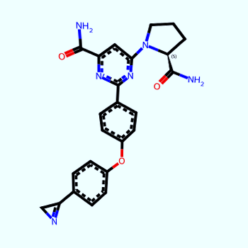 NC(=O)c1cc(N2CCC[C@H]2C(N)=O)nc(-c2ccc(Oc3ccc(C4=NC4)cc3)cc2)n1